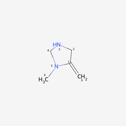 C=C1CNCN1C